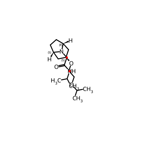 CC(C)NC(=O)CN1[C@@H]2CC[C@H]1C[C@H](OCCOC(C)C)C2